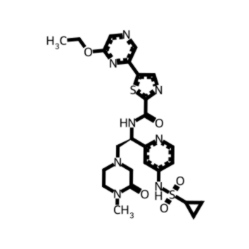 CCOc1cncc(-c2cnc(C(=O)N[C@H](CN3CCN(C)C(=O)C3)c3cc(NS(=O)(=O)C4CC4)ccn3)s2)n1